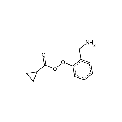 NCc1ccccc1OOC(=O)C1CC1